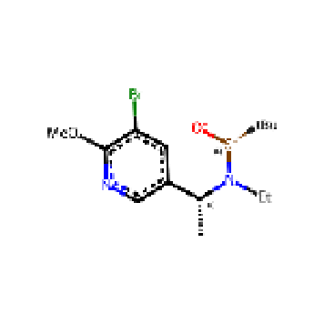 CCN([C@H](C)c1cnc(OC)c(Br)c1)[S@@+]([O-])C(C)(C)C